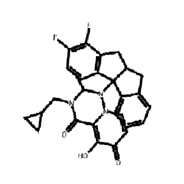 CC1N(CC2CC2)C(=O)c2c(O)c(=O)ccn2N1C12c3ccccc3CC1Cc1c2ccc(F)c1F